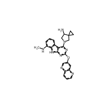 CNc1cccc2c1[nH]c1nc(Oc3cnc4cccnc4c3)nc(N3CC(N)C4(CC4)C3)c12